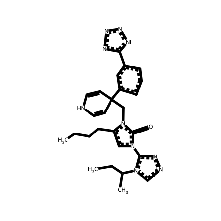 CCCCc1cn(-c2nncn2C(C)CC)c(=O)n1CC1(c2cccc(-c3nnn[nH]3)c2)C=CNC=C1